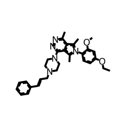 CCOc1ccc(-n2c(C)c3c(C)nnc(N4CCN(C/C=C/c5ccccc5)CC4)c3c2C)c(OC)c1